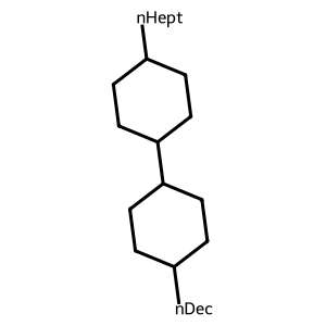 CCCCCCCCCCC1CCC(C2CCC(CCCCCCC)CC2)CC1